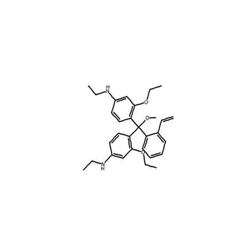 C=Cc1ccccc1C(OC)(c1ccc(NCC)cc1OCC)c1ccc(NCC)cc1OCC